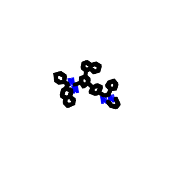 c1ccc(-c2nc(-c3cc(-c4ccc(-c5nc6ccccn6c5-c5ccccc5)cc4)cc(-c4cccc5ccccc45)c3)nc3c2ccc2ccccc23)cc1